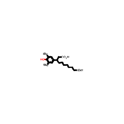 CCCCCCCCCCCCCCCCCC(CC(=O)O)c1cc(C(C)(C)C)c(O)c(C(C)(C)C)c1